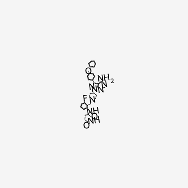 Nc1ncnc2c1c(-c1ccc(Oc3ccccc3)cc1)nn2C1CCN(Cc2c(F)cccc2NC2CCC(=O)NC2=O)CC1